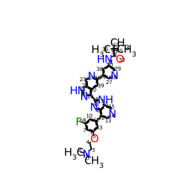 CN(C)CCOc1cc(F)cc(-c2cncc3[nH]c(-c4n[nH]c5cnc(-c6cncc(NC(=O)C(C)(C)C)c6)cc45)nc23)c1